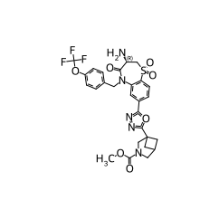 COC(=O)N1CC2CC(c3nnc(-c4ccc5c(c4)N(Cc4ccc(OC(F)(F)F)cc4)C(=O)[C@@H](N)CS5(=O)=O)o3)(C2)C1